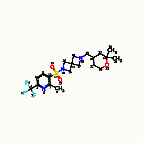 Cc1nc(C(F)(F)F)ccc1S(=O)(=O)N1CC2(CN(CC3CCOC(C)(C)C3)C2)C1